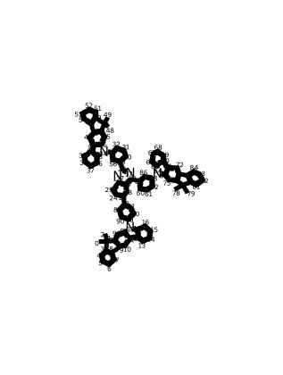 CC1(C)c2ccccc2-c2cc3c4ccccc4n(-c4ccc(-c5ccc6nc(-c7cccc(-n8c9ccccc9c9cc%10c(cc98)C(C)(C)c8ccccc8-%10)c7)nc(-c7cccc(-n8c9ccccc9c9cc%10c(cc98)C(C)(C)c8ccccc8-%10)c7)c6c5)cc4)c3cc21